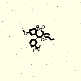 CCCC[C@]1(CC)CS(=O)(=O)c2ccc(OC)cc2[C@@H](c2cccc(C(F)(F)F)c2)[C@H]1O